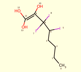 CCCCC(I)C(I)(I)C(O)=C(O)O